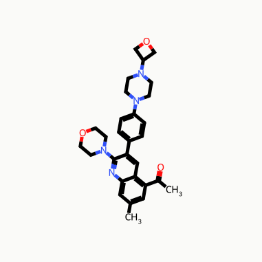 CC(=O)c1cc(C)cc2nc(N3CCOCC3)c(-c3ccc(N4CCN(C5COC5)CC4)cc3)cc12